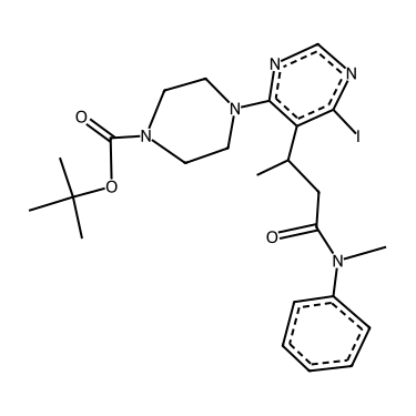 CC(CC(=O)N(C)c1ccccc1)c1c(I)ncnc1N1CCN(C(=O)OC(C)(C)C)CC1